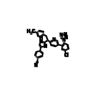 Cc1ccc(CC(c2ccc(-c3cc(Cl)ccc3-n3cnnn3)cn2)c2nc(-c3ccc(C#N)cc3)c[nH]2)cc1